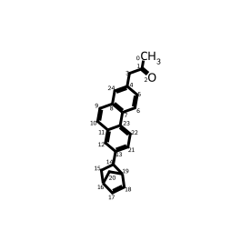 CC(=O)Cc1ccc2c(ccc3cc(C4CC5C=CC4C5)ccc32)c1